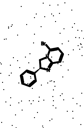 BrC1=CC=CC2=N[C@H](c3ccccc3)CN12